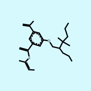 C=C(C)c1cc(OCC(CCC)C(C)(C)CCC)cc(C(=C)S/C(C)=C\C)c1